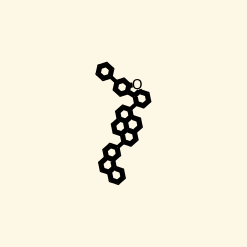 c1ccc(-c2ccc3c(c2)oc2cccc(-c4ccc5ccc6c(-c7ccc8ccc9ccccc9c8c7)ccc7ccc4c5c76)c23)cc1